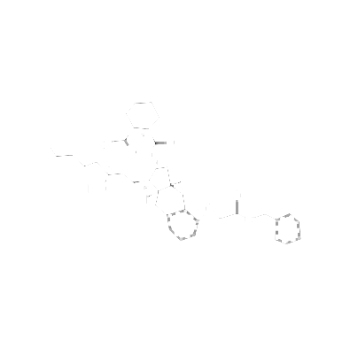 CCCCC[C@H](O)CC[C@@H]1[C@H]2Cc3cccc(OCC(=O)OCc4ccccc4)c3C[C@H]2C[C@H]1OC(=O)[C@@H]1CCCC[C@@H]1C(=O)OC